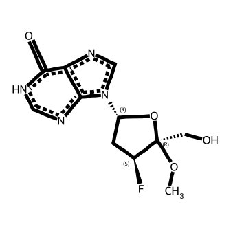 CO[C@]1(CO)O[C@@H](n2cnc3c(=O)[nH]cnc32)C[C@@H]1F